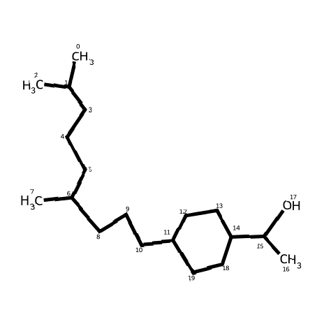 CC(C)CCCC(C)CCCC1CCC(C(C)O)CC1